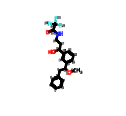 COC(Cc1ccccc1)c1cccc(C(O)CCNC(=O)C(F)(F)F)c1